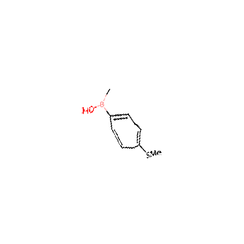 CSc1ccc(B(C)O)cc1